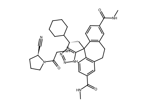 CNC(=O)c1ccc2c(c1)CCc1cc(C(=O)NC)ccc1C2(C[C@H](NCC(=O)N1CCC[C@H]1C#N)C1CCCCC1)c1nnn[nH]1